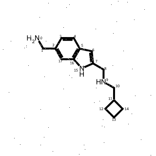 NCc1ccc2cc(CNCC3CCC3)[nH]c2c1